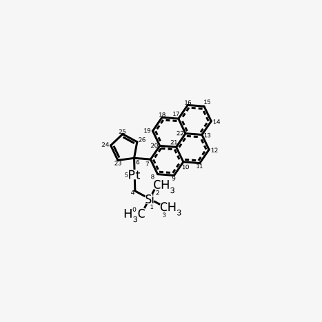 C[Si](C)(C)[CH2][Pt][C]1(c2ccc3ccc4cccc5ccc2c3c45)C=CC=C1